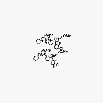 CNC[C@H](CC1(F)CCCCC1)NC(=O)N1CCCC([C@@](O)(CCCCOC)c2cccc(Cl)c2F)C1.CNC[C@H](CC1CCCCC1)NC(=O)N1CCC[C@@H]([C@](O)(CCCCOC)c2ccc(F)c(Cl)c2F)C1